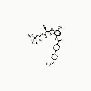 CCC1CCC(C2CCC(C(=O)Oc3ccc(C)c4c3S/C(=C(/C#N)C(=O)OCCC(C)(C)OC)S4)CC2)CC1